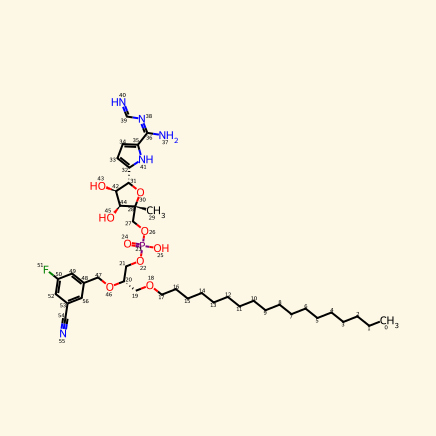 CCCCCCCCCCCCCCCCCCOC[C@@H](COP(=O)(O)OC[C@@]1(C)O[C@@H](c2ccc(/C(N)=N\C=N)[nH]2)[C@H](O)[C@@H]1O)OCc1cc(F)cc(C#N)c1